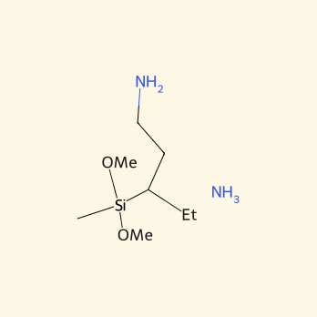 CCC(CCN)[Si](C)(OC)OC.N